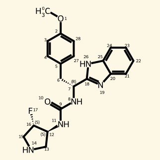 COc1ccc(C[C@@H](NC(=O)N[C@H]2CNC[C@@H]2F)c2nc3ccccc3[nH]2)cc1